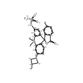 Cc1ccc2c(c1)C1(OC2=O)c2ccc(OS(=O)(=O)C(F)(F)F)cc2[Si](C)(C)c2cc(N3CC(F)C3)ccc21